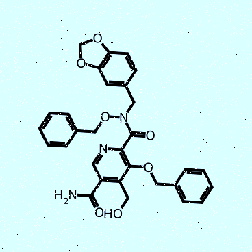 NC(=O)c1cnc(C(=O)N(Cc2ccc3c(c2)OCO3)OCc2ccccc2)c(OCc2ccccc2)c1CO